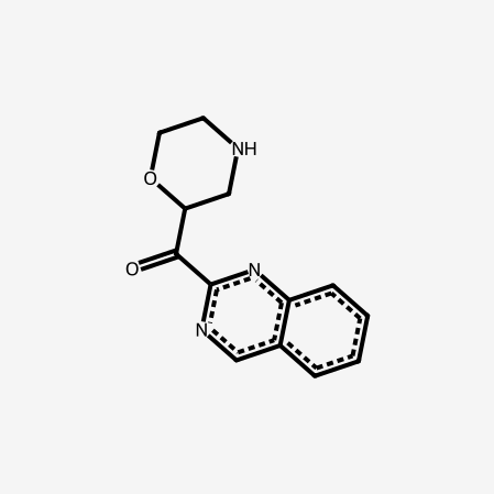 O=C(c1ncc2ccccc2n1)C1CNCCO1